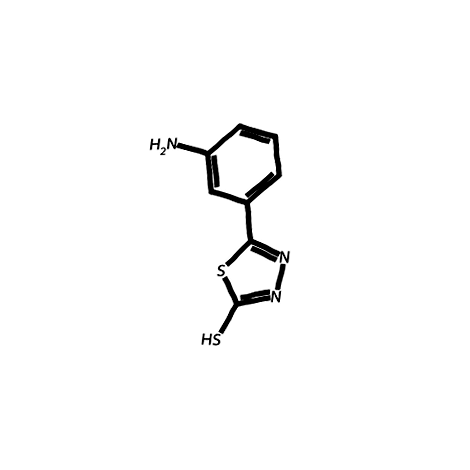 Nc1cccc(-c2nnc(S)s2)c1